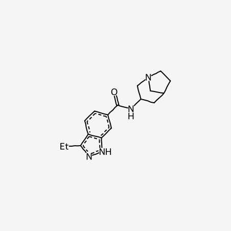 CCc1n[nH]c2cc(C(=O)NC3CC4CCN(C4)C3)ccc12